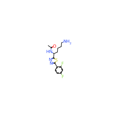 CC(=O)NC(CCCCN)c1nnc(-c2ccc(F)cc2F)s1